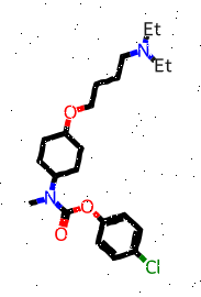 CCN(CC)CCCCOC1CCC(N(C)C(=O)Oc2ccc(Cl)cc2)CC1